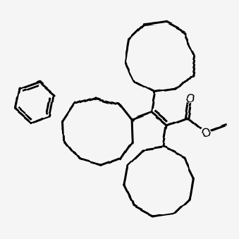 COC(=O)C(=C(C1CCCCCCCCC1)C1CCCCCCCCC1)C1CCCCCCCCC1.c1ccccc1